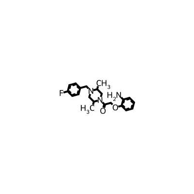 CC1CN(C(=O)COc2ccccc2N)C(C)CN1Cc1ccc(F)cc1